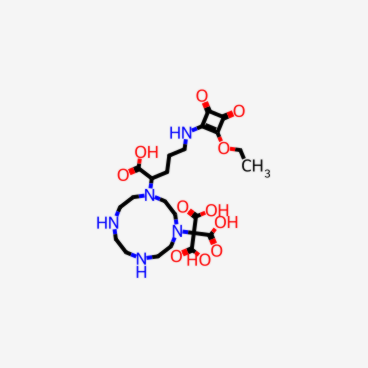 CCOc1c(NCCCC(C(=O)O)N2CCNCCNCCN(C(C(=O)O)(C(=O)O)C(=O)O)CC2)c(=O)c1=O